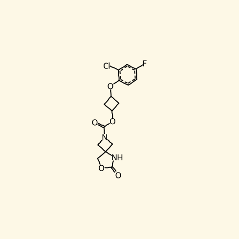 O=C1NC2(CO1)CN(C(=O)OC1CC(Oc3ccc(F)cc3Cl)C1)C2